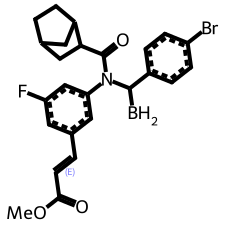 BC(c1ccc(Br)cc1)N(C(=O)C1CC2CCC1C2)c1cc(F)cc(/C=C/C(=O)OC)c1